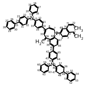 C=Cc1ccc(N2/C=C\C(c3ccc(N(c4ccccc4)c4ccc(-c5ccccc5)cc4)cc3)=C/C(=C)c3cc(-c4ccc(N(C5=CCC(c6ccccc6)C=C5)c5ccccc5)cc4)ccc32)cc1/C=C\C